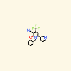 N#Cc1c(C(F)(F)F)cc(-c2cccnc2)n(Cc2ccccc2)c1=O